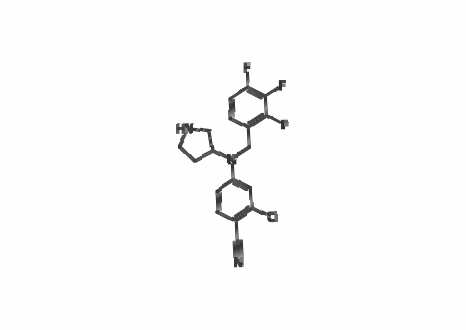 N#Cc1ccc(N(Cc2ccc(F)c(F)c2F)C2CCNC2)cc1Cl